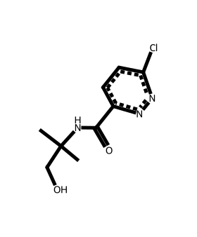 CC(C)(CO)NC(=O)c1ccc(Cl)nn1